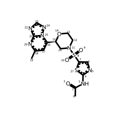 CC(=O)Nc1ncc(S(=O)(=O)N2CCO[C@H](c3cc(C)nc4ncnn34)C2)s1